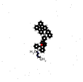 C=C/C=C\C=C(/C)N1c2ccccc2C2(c3ccccc3)c3cc(-c4ccc(N(c5ccc6c(c5)C5(c7ccccc7-c7ccccc75)c5ccccc5-6)c5cccc6ccccc56)cc4)ccc3-c3cccc1c32